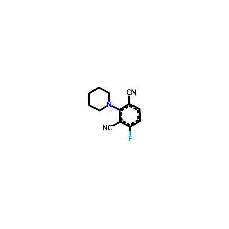 N#Cc1ccc(F)c(C#N)c1N1CCCCC1